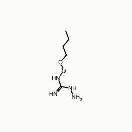 CCCCOONC(=N)NN